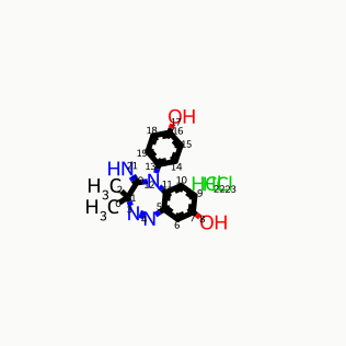 CC1(C)N=Nc2cc(O)ccc2N(c2ccc(O)cc2)C1=N.Cl.Cl